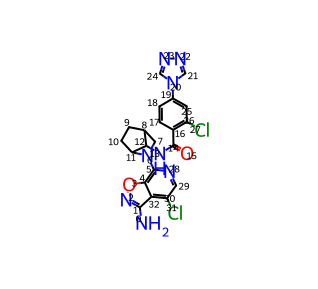 Nc1noc2c(N3CC4CCC3C4NC(=O)c3ccc(-n4cnnc4)cc3Cl)ncc(Cl)c12